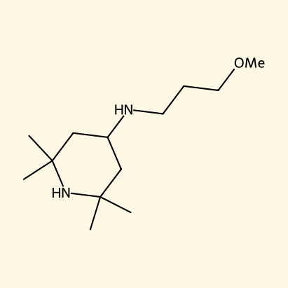 COCCCNC1CC(C)(C)NC(C)(C)C1